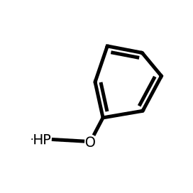 [PH]Oc1ccccc1